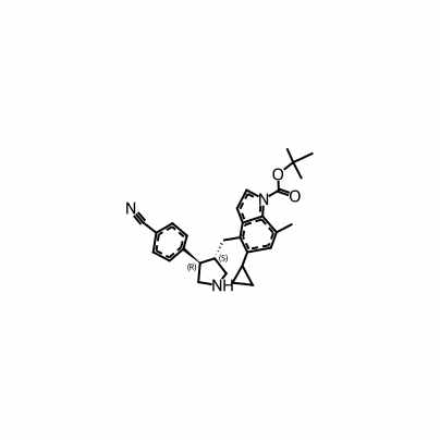 Cc1cc(C2CC2)c(C[C@@H]2CNC[C@H]2c2ccc(C#N)cc2)c2ccn(C(=O)OC(C)(C)C)c12